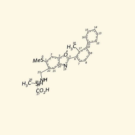 CSc1cc2oc(-c3cccc(-c4ccccc4)c3C)nc2cc1CN[Si@@H](C)C(=O)O